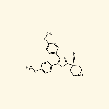 COc1ccc(-c2nc(C3(C#N)CCNCC3)sc2-c2ccc(OC)cc2)cc1